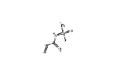 C=CC(=O)N=S(C)(=O)C(C)C